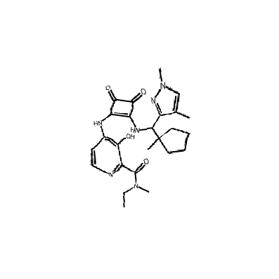 CCN(C)C(=O)c1nccc(Nc2c(NC(c3nn(C)cc3C)C3(C)CCCC3)c(=O)c2=O)c1O